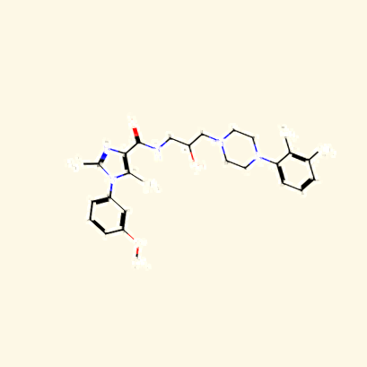 COc1cccc(-n2c(C)nc(C(=O)NCC(O)CN3CCN(c4cccc(C)c4C)CC3)c2C)c1